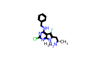 C[C@H](N)Cc1c(F)c2c(NCc3ccccc3)nc(Cl)nc2n1C